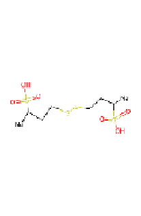 O=S(=O)(O)[CH]([Na])CCSSCC[CH]([Na])S(=O)(=O)O